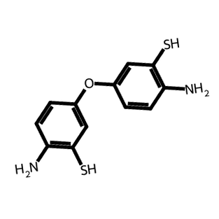 Nc1ccc(Oc2ccc(N)c(S)c2)cc1S